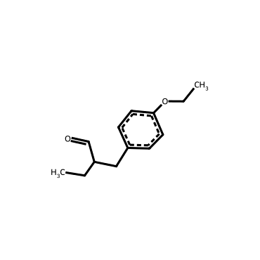 CCOc1ccc(CC(C=O)CC)cc1